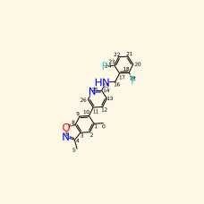 Cc1cc2c(C)noc2cc1-c1ccc(NCc2c(F)cccc2F)nc1